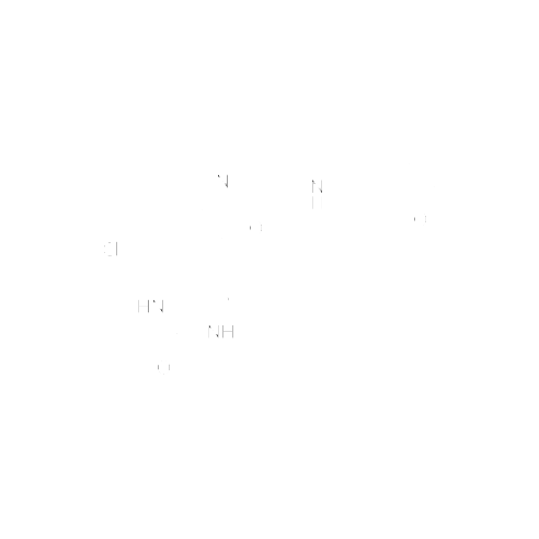 O=C1Nc2c(Cl)cc3nc(CNCC4CCOC4)oc3c2C2(CCCCC2)N1